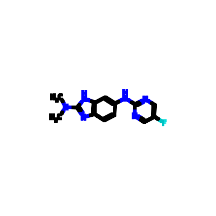 CN(C)c1nc2ccc(Nc3ncc(F)cn3)cc2[nH]1